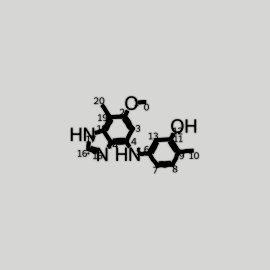 COc1cc(Nc2ccc(C)c(O)c2)c2n[c][nH]c2c1C